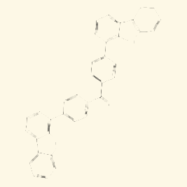 O=C(c1ccc(-c2cccc3c4c(oc23)C=CCC4)cc1)c1ccc(-c2cccc3c2oc2ccccc23)cc1